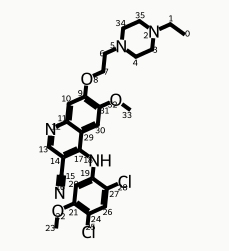 CCN1CCN(CCOc2cc3ncc(C#N)c(Nc4cc(OC)c(Cl)cc4Cl)c3cc2OC)CC1